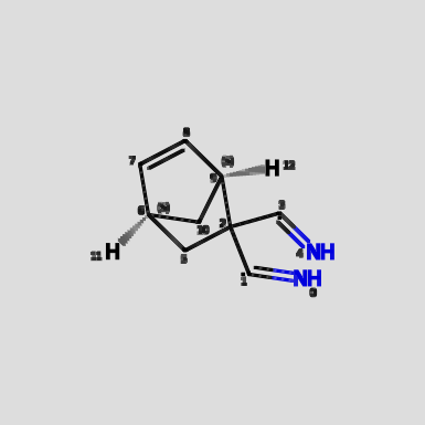 N=[C]C1([C]=N)C[C@H]2C=C[C@@H]1C2